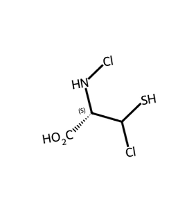 O=C(O)[C@H](NCl)C(S)Cl